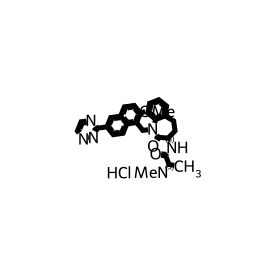 CN[C@@H](C)C(=O)N[C@H]1CCc2ccccc2N(Cc2c(OC)ccc3cc(-c4nccnn4)ccc23)C1=O.Cl